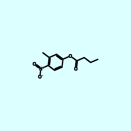 CCCC(=O)Oc1ccc([N+](=O)[O-])c(C)c1